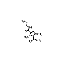 C=c1cc(C(=O)NCCC)n(C)c1=C(C)C